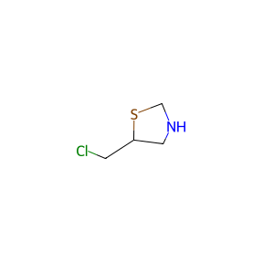 ClCC1CNCS1